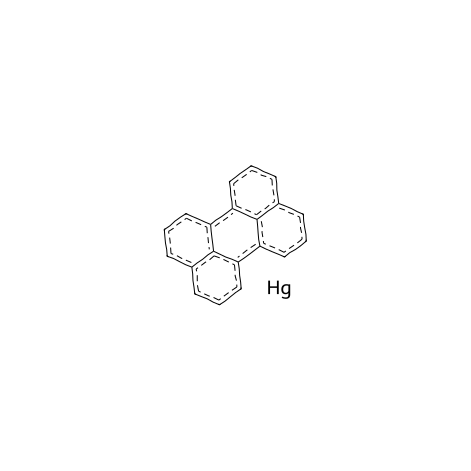 [Hg].c1cc2cccc3c4cccc5cccc(c(c1)c23)c54